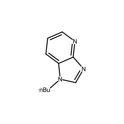 CCC[CH]n1cnc2ncccc21